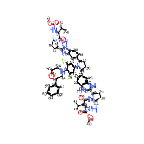 COC(=O)N[C@H](C(=O)N1CCC[C@H]1c1nc2cc([C@H]3CC[C@H](c4ccc5[nH]c([C@@H]6CCCN6C(=O)[C@@H](NC(=O)OC)C(C)C)nc5c4)N3c3cc(F)c(N4CCOC(c5ccccc5)C4)c(F)c3)ccc2[nH]1)C(C)C